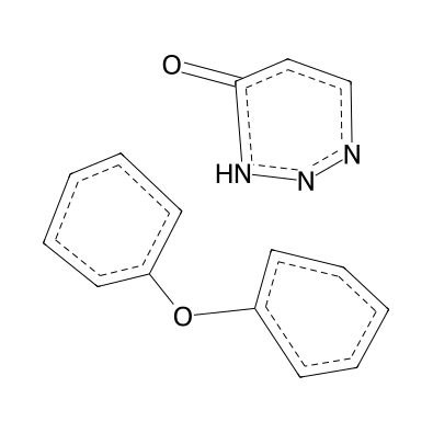 O=c1ccnn[nH]1.c1ccc(Oc2ccccc2)cc1